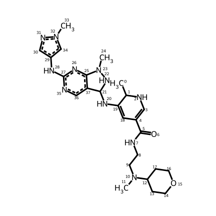 CC1NC=C(C(=O)NCCN(C)C2CCOCC2)C=C1NC1NN(C)c2nc(Nc3cnn(C)c3)ncc21